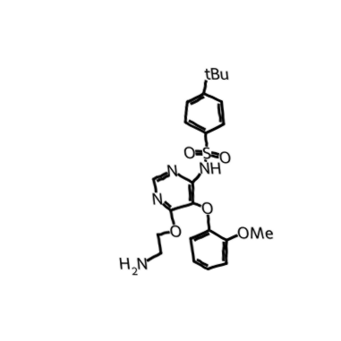 COc1ccccc1Oc1c(NS(=O)(=O)c2ccc(C(C)(C)C)cc2)ncnc1OCCN